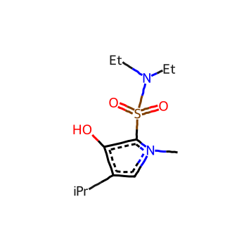 CCN(CC)S(=O)(=O)c1c(O)c(C(C)C)cn1C